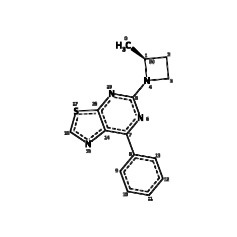 C[C@H]1CCN1c1nc(-c2ccccc2)c2ncsc2n1